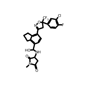 CN1C(=O)CC(NC(O)c2ccc(C3=NOC(c4ccc(F)c(Cl)c4)(C(F)(F)F)C3)c3c2CCC3)C1=O